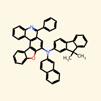 CC1(C)c2ccccc2-c2ccc(N(c3ccc4ccccc4c3)c3cc4c(-c5ccccc5)nc5ccccc5c4c4c3oc3ccccc34)cc21